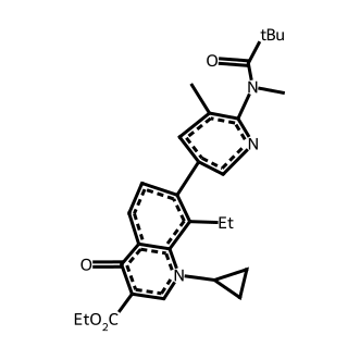 CCOC(=O)c1cn(C2CC2)c2c(CC)c(-c3cnc(N(C)C(=O)C(C)(C)C)c(C)c3)ccc2c1=O